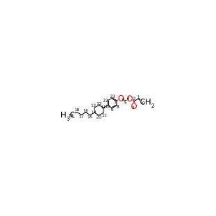 C=CC(=O)OCOc1ccc(C2CCC(CCCCC)CC2)cc1